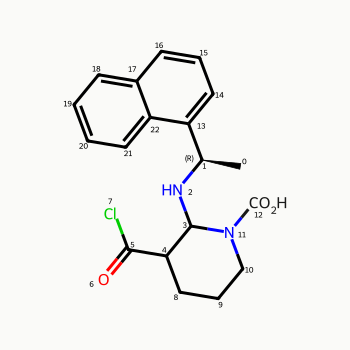 C[C@@H](NC1C(C(=O)Cl)CCCN1C(=O)O)c1cccc2ccccc12